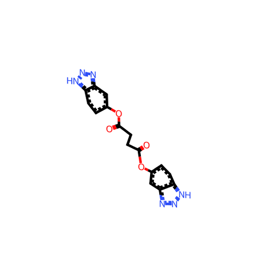 O=C(CCC(=O)Oc1ccc2[nH]nnc2c1)Oc1ccc2[nH]nnc2c1